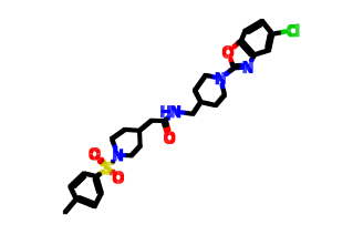 Cc1ccc(S(=O)(=O)N2CCC(CC(=O)NCC3CCN(c4nc5cc(Cl)ccc5o4)CC3)CC2)cc1